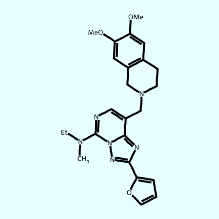 CCN(C)c1ncc(CN2CCc3cc(OC)c(OC)cc3C2)c2nc(-c3ccco3)nn12